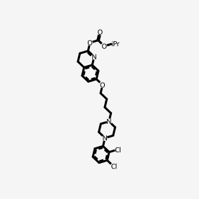 CC(C)OC(=O)OC1=Nc2cc(OCCCCN3CCN(c4cccc(Cl)c4Cl)CC3)ccc2CC1